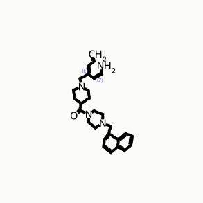 C=C/C=C(\C=C/N)CN1CCC(C(=O)N2CCN(Cc3cccc4ccccc34)CC2)CC1